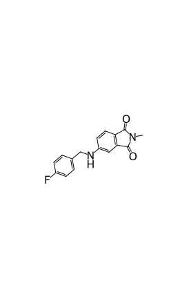 CN1C(=O)c2ccc(NCc3ccc(F)cc3)cc2C1=O